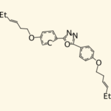 CCC=CCCOc1ccc(-c2nnc(-c3ccc(OCCC=CCC)cc3)o2)cc1